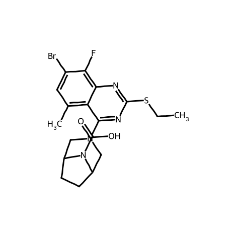 CCSc1nc(N2CC3CCC(C2)N3C(=O)O)c2c(C)cc(Br)c(F)c2n1